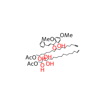 C#CCCCCCCCCCCCC(O)CC(O)COC(C)=O.C=CCCCCCCCCCCCC(O)CC(O)COC(C)=O.COc1cc(O)c(C(=O)C=Cc2ccccc2)c(OC)c1